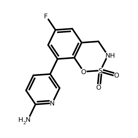 Nc1ccc(-c2cc(F)cc3c2OS(=O)(=O)NC3)cn1